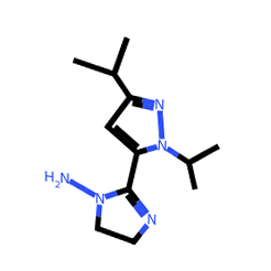 CC(C)c1cc(C2=NCCN2N)n(C(C)C)n1